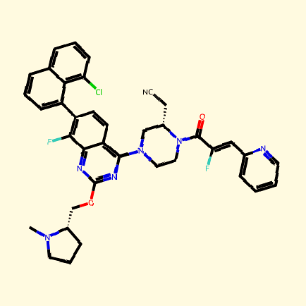 CN1CCC[C@H]1COc1nc(N2CCN(C(=O)/C(F)=C/c3ccccn3)[C@@H](CC#N)C2)c2ccc(-c3cccc4cccc(Cl)c34)c(F)c2n1